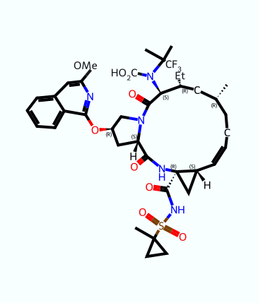 CC[C@@H]1C[C@H](C)CCC=C[C@@H]2C[C@@]2(C(=O)NS(=O)(=O)C2(C)CC2)NC(=O)[C@@H]2C[C@@H](Oc3nc(OC)cc4ccccc34)CN2C(=O)[C@H]1N(C(=O)O)C(C)(C)C(F)(F)F